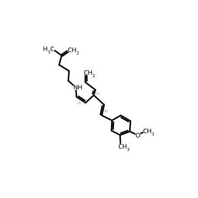 C=C/C=C(\C=C/NCCCC(=C)C)/C=C/c1ccc(OC)c(C)c1